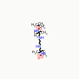 CCC(CC)(CCNCCCCNCCC(CC)(CC)NC(=O)OC(C)(C)C)NC(=O)O